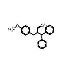 C=C[C](Cc1ccc(OC)cc1)C(c1ccccc1)c1ccccc1